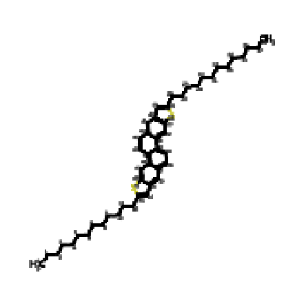 CCCCCCCCCCCCCc1cc2cc3ccc4c5cc6sc(CCCCCCCCCCCCC)cc6cc5ccc4c3cc2s1